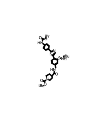 CC(C)OC(=O)Nc1ccc(-c2ncc(-c3ccc(CNC(=O)C4CCN(C(=O)OC(C)(C)C)CC4)cc3SNC(C)(C)C)s2)cc1